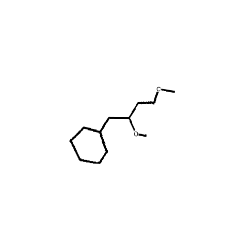 CO[CH]CC(CC1CCCCC1)OC